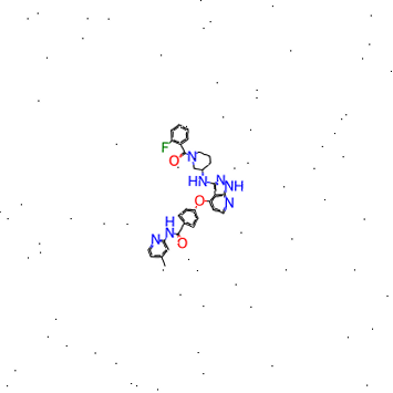 Cc1ccnc(NC(=O)c2ccc(Oc3ccnc4[nH]nc(N[C@@H]5CCCN(C(=O)c6ccccc6F)C5)c34)cc2)c1